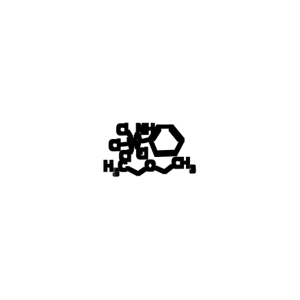 CCOCC.[NH]=[W]([Cl])([Cl])([Cl])([Cl])[c]1ccccc1